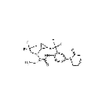 NC[C@@H](C(=O)Nc1ccc(N2CCOCC2=O)cc1C(F)(F)F)N(CC(F)(F)F)C1CC1